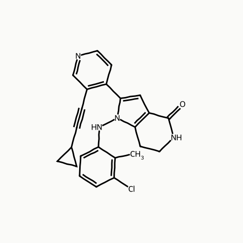 Cc1c(Cl)cccc1Nn1c(-c2ccncc2C#CC2CC2)cc2c1CCNC2=O